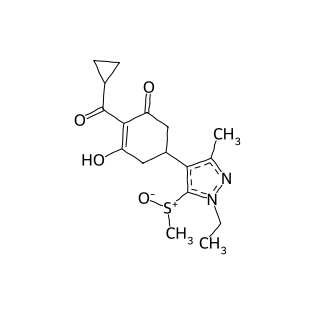 CCn1nc(C)c(C2CC(=O)C(C(=O)C3CC3)=C(O)C2)c1[S+](C)[O-]